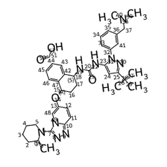 C[C@H]1CCCCN1c1nnc2ccc(O[C@@H]3CC[C@H](NC(=O)Nc4cc(C(C)(C)C)nn4-c4cccc(CN(C)C)c4)c4ccccc43)cn12.O=CO